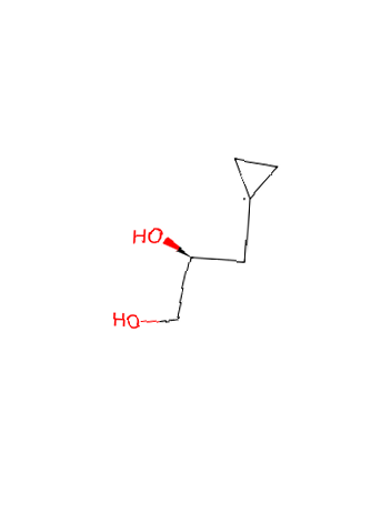 OC[C@@H](O)C[C]1CC1